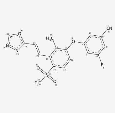 Cc1c(Oc2cc(F)cc(C#N)c2)ccc(S(=O)(=O)C(F)(F)F)c1C=Cc1nnco1